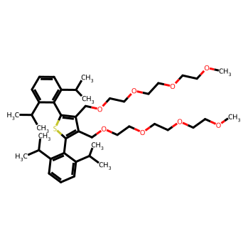 COCCOCCOCCOCc1c(-c2c(C(C)C)cccc2C(C)C)sc(-c2c(C(C)C)cccc2C(C)C)c1COCCOCCOCCOC